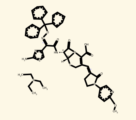 CCN(CC)CC.COc1ccc(N2CC/C(=C\C3=C(C(=O)O)N4C(=O)[C@@H](NC(=O)/C(=N\OC(c5ccccc5)(c5ccccc5)c5ccccc5)c5csc(N)n5)[C@H]4SC3)C2=O)cn1